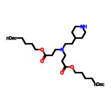 CCCCCCCCCCCCCCOC(=O)CCN(CCC(=O)OCCCCCCCCCCCCCC)CCC1CCNCC1